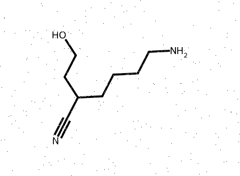 N#CC(CCO)CCCCN